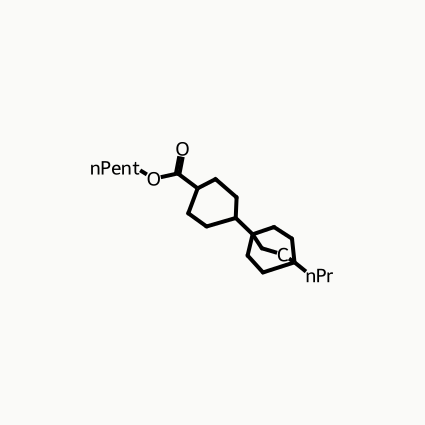 CCCCCOC(=O)C1CCC(C23CCC(CCC)(CC2)CC3)CC1